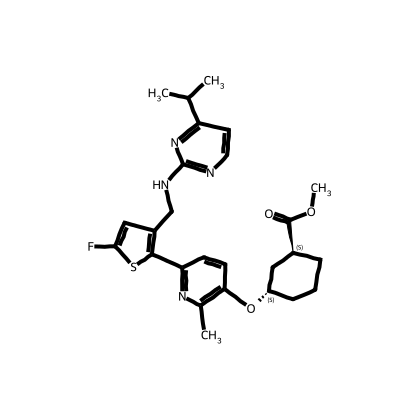 COC(=O)[C@H]1CCC[C@H](Oc2ccc(-c3sc(F)cc3CNc3nccc(C(C)C)n3)nc2C)C1